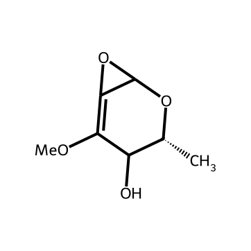 COC1=C2OC2O[C@H](C)C1O